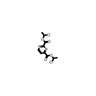 CC(Cl)OC(=O)c1ccnc(C(=O)OC(C)Cl)n1